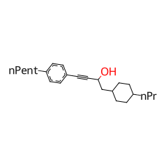 CCCCCc1ccc(C#CC(O)CC2CCC(CCC)CC2)cc1